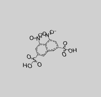 O=[N+]([O-])c1cc(S(=O)(=O)O)cc2cc(S(=O)(=O)O)cc([N+](=O)[O-])c12